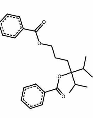 CC(C)C(CCCOC(=O)c1ccccc1)(OC(=O)c1ccccc1)C(C)C